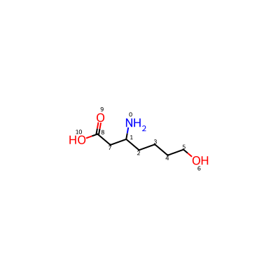 NC(CCCCO)CC(=O)O